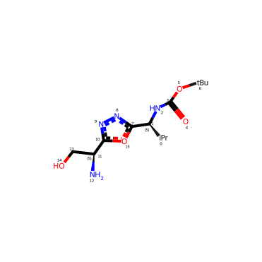 CC(C)[C@H](NC(=O)OC(C)(C)C)c1nnc([C@@H](N)CO)o1